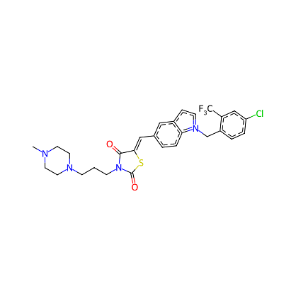 CN1CCN(CCCN2C(=O)S/C(=C\c3ccc4c(ccn4Cc4ccc(Cl)cc4C(F)(F)F)c3)C2=O)CC1